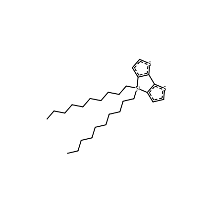 CCCCCCCCCC[Si]1(CCCCCCCCCC)c2ccsc2-c2sccc21